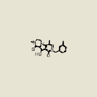 Cc1cccc(Cn2nc(C)c3c(c(O)c4n3CCN(C)C4=O)c2=O)c1